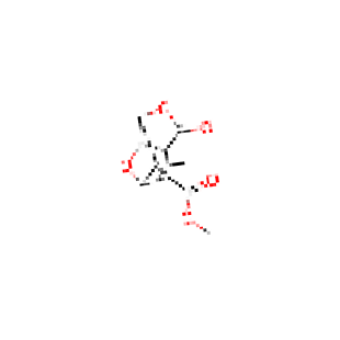 COC(=O)C1C2C(=O)OC3C2OC1[C@@H]3C